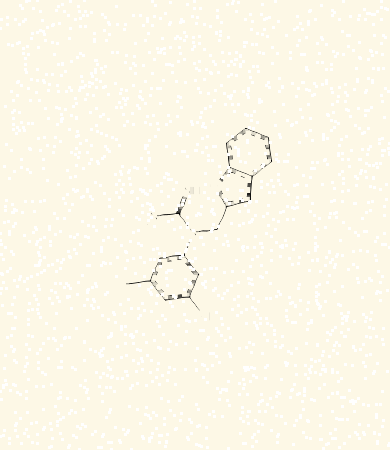 N=C(N)N(Cc1cc2ccccc2o1)c1cc(Cl)cc(Cl)c1